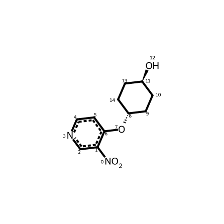 O=[N+]([O-])c1cnccc1O[C@H]1CC[C@H](O)CC1